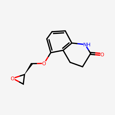 O=C1CCc2c(cccc2OC[C@H]2CO2)N1